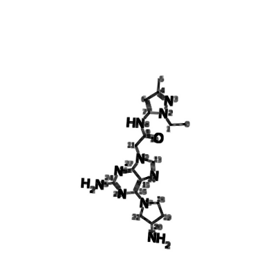 CCn1nc(C)cc1NC(=O)Cn1cnc2c(N3CCC(N)C3)nc(N)nc21